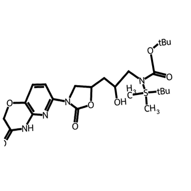 CC(C)(C)OC(=O)N(CC(O)CC1CN(c2ccc3c(n2)NC(=O)CO3)C(=O)O1)S(C)(C)C(C)(C)C